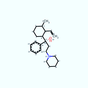 C=CC1C(C)CCCC1[C@@](O)(CCN1CCCCC1)c1ccccc1